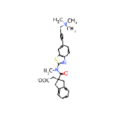 CN(C(=O)C1(CC(=O)[O-])Cc2ccccc2C1)c1nc2ccc(C#CC[N+](C)(C)C)cc2s1